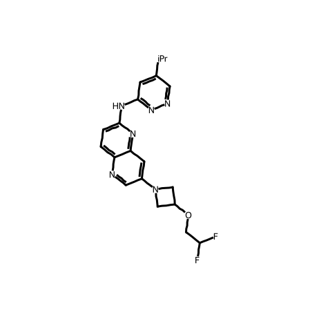 CC(C)c1cnnc(Nc2ccc3ncc(N4CC(OCC(F)F)C4)cc3n2)c1